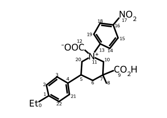 CCc1ccc(C2CC(C)(C(=O)O)C[N+](C(=O)[O-])(c3ccc([N+](=O)[O-])cc3)C2)cc1